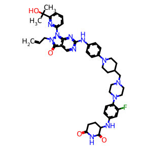 C=CCn1c(=O)c2cnc(Nc3ccc(N4CCC(CN5CCN(c6ccc(NC7CCC(=O)NC7=O)cc6F)CC5)CC4)cc3)nc2n1-c1cccc(C(C)(C)O)n1